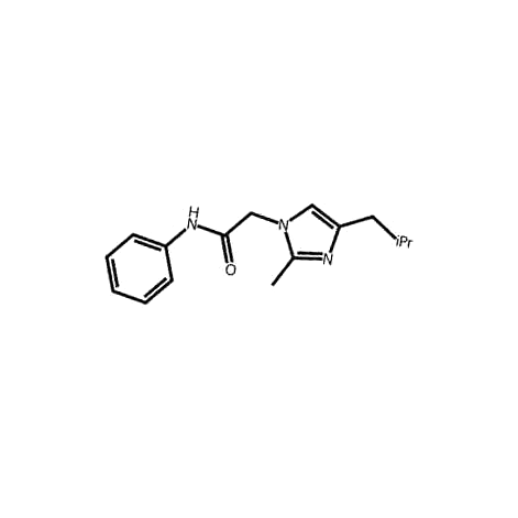 Cc1nc(CC(C)C)cn1CC(=O)Nc1ccccc1